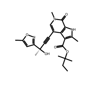 CCC(C)(C)OC(=O)c1c(C)[nH]c2c(=O)n(C)cc(C#C[C@@](C)(O)c3cc(C)on3)c12